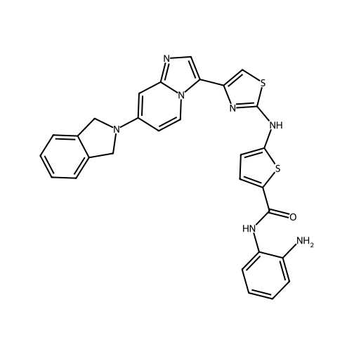 Nc1ccccc1NC(=O)c1ccc(Nc2nc(-c3cnc4cc(N5Cc6ccccc6C5)ccn34)cs2)s1